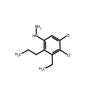 CCCc1c(NN)cc(Cl)c(Cl)c1CC